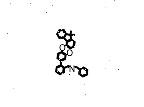 CC1(C)c2ccccc2-c2c1ccc1c2Oc2ccc(-c3ccccc3/C=N/Cc3ccccc3)cc2O1